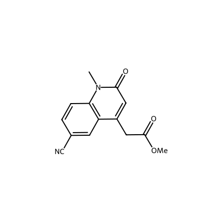 COC(=O)Cc1cc(=O)n(C)c2ccc(C#N)cc12